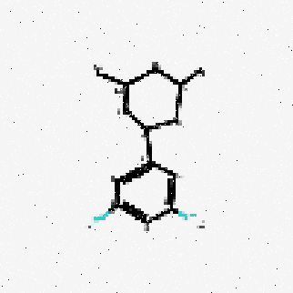 CC1[CH]C(c2cc(F)cc(F)c2)CC(C)C1